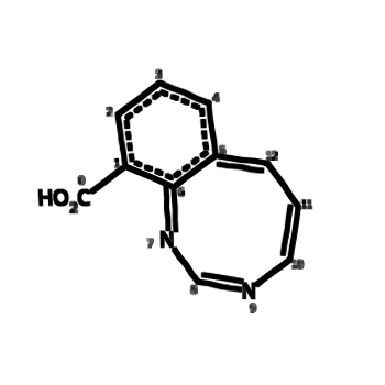 O=C(O)c1cccc2c1=NC=NC=CC=2